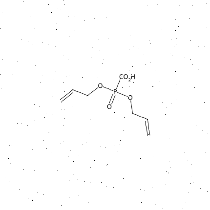 C=CCOP(=O)(OCC=C)C(=O)O